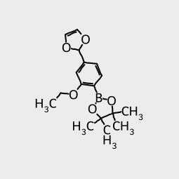 CCOc1cc(C2OC=CO2)ccc1B1OC(C)(C)C(C)(C)O1